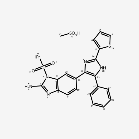 CC(C)S(=O)(=O)n1c(N)nc2ccc(-c3nc(-c4cccs4)[nH]c3-c3ccccc3)cc21.CS(=O)(=O)O